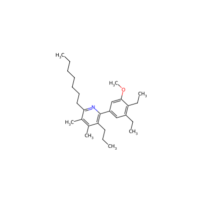 CCCCCCCc1nc(-c2cc(CC)c(CC)c(OC)c2)c(CCC)c(C)c1C